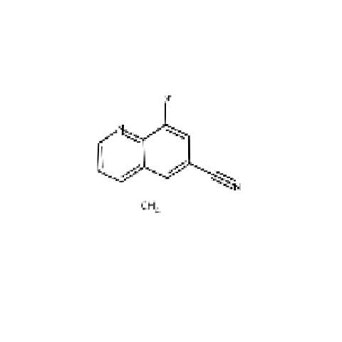 C.N#Cc1cc(Br)c2ncccc2c1